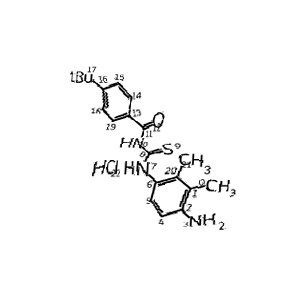 Cc1c(N)ccc(NC(=S)NC(=O)c2ccc(C(C)(C)C)cc2)c1C.Cl